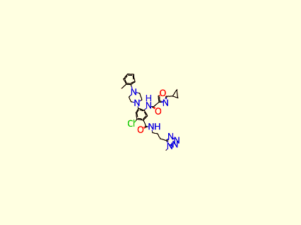 Cc1ccccc1N1CCN(c2cc(Cl)c(C(=O)NCCCc3nnnn3C)cc2NC(=O)c2coc(C3CC3)n2)CC1